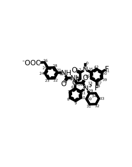 CN(C(=O)COc1ccccc1[N+](C)(C(=O)CNC(=O)Nc1cccc(CC(=O)[O-])c1)C1CCCCC1)c1cc(F)cc(F)c1